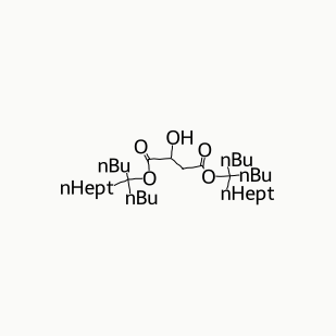 CCCCCCCC(CCCC)(CCCC)OC(=O)CC(O)C(=O)OC(CCCC)(CCCC)CCCCCCC